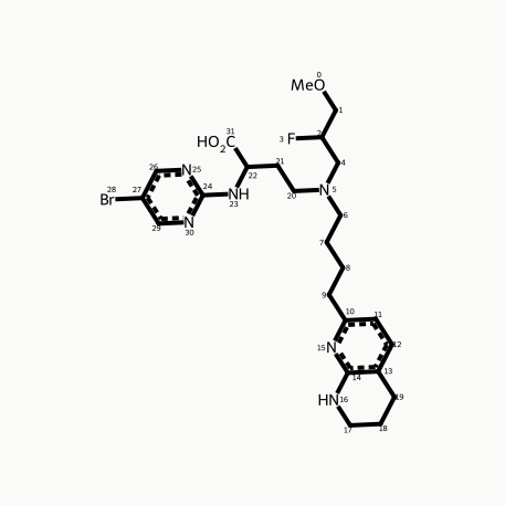 COCC(F)CN(CCCCc1ccc2c(n1)NCCC2)CCC(Nc1ncc(Br)cn1)C(=O)O